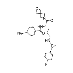 N#Cc1ccc(C(=O)N[C@@H](CCCN[C@@H]2C[C@H]2c2ccc(F)cc2)C(=O)N2CC3(COC3)C2)cc1